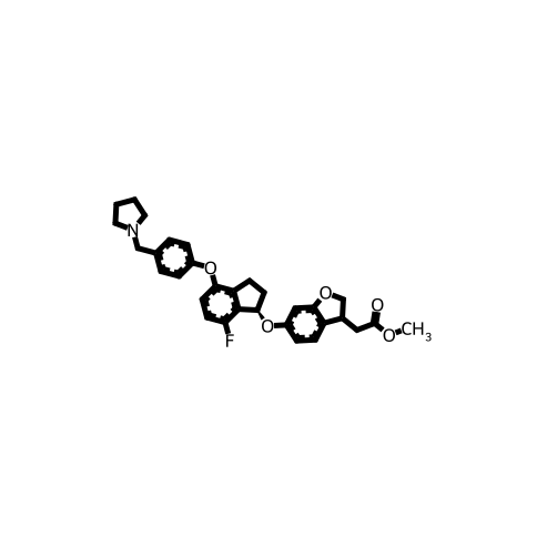 COC(=O)CC1COc2cc(O[C@@H]3CCc4c(Oc5ccc(CN6CCCC6)cc5)ccc(F)c43)ccc21